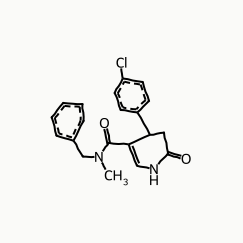 CN(Cc1ccccc1)C(=O)C1=CNC(=O)CC1c1ccc(Cl)cc1